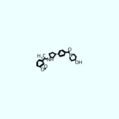 C[C@@H](N[C@H]1CC[C@@H](c2ccc(C(=O)N3CCC(O)CC3)cc2)C1)c1cccc2c1OCO2